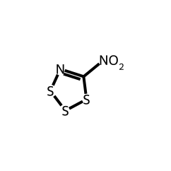 O=[N+]([O-])C1=NSSS1